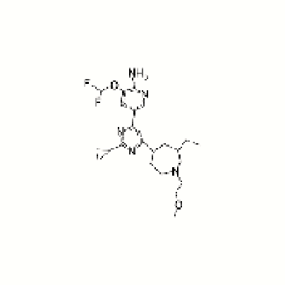 CCC1CC(c2cc(-c3cnc(N)c(OC(F)F)c3)nc(C3CC3)n2)CCN(CCOC)C1